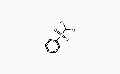 O=S(=O)(c1ccccc1)C(Cl)Cl